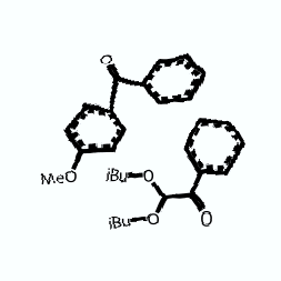 CCC(C)OC(OC(C)CC)C(=O)c1ccccc1.COc1ccc(C(=O)c2ccccc2)cc1